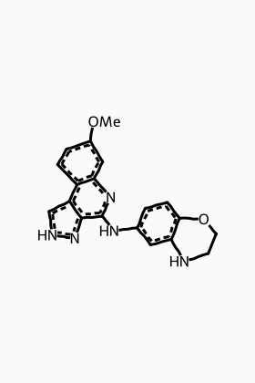 COc1ccc2c(c1)nc(Nc1ccc3c(c1)NCCO3)c1n[nH]cc12